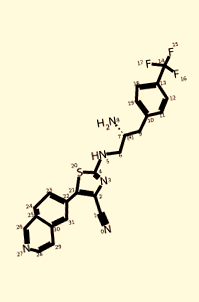 N#Cc1nc(NC[C@H](N)Cc2ccc(C(F)(F)F)cc2)sc1-c1ccc2cnccc2c1